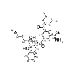 CCCN(CCC)C(=O)c1cc(C(N)=O)cc(C(=O)NC(Cc2ccccc2)C(O)C(O)CCCSC)c1